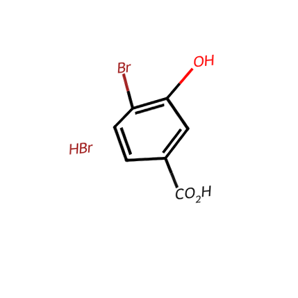 Br.O=C(O)c1ccc(Br)c(O)c1